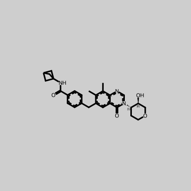 Cc1c(Cc2ccc(C(=O)NC34CC(C3)C4)cc2)cc2c(=O)n([C@H]3CCOC[C@@H]3O)cnc2c1C